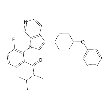 CC(C)N(C)C(=O)c1cccc(F)c1-n1cc(C2CCC(Oc3ccccc3)CC2)c2ccncc21